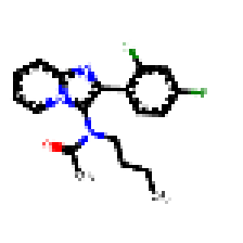 CCCCN(C(C)=O)c1c(-c2ccc(F)cc2Cl)nc2ccccn12